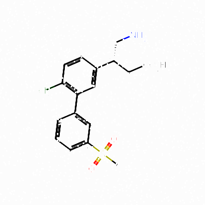 CS(=O)(=O)c1cccc(-c2cc([C@H](CN)CC(=O)O)ccc2Cl)c1